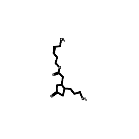 CC/C=C\CCOC(=O)CC1CC(=O)CC1CCCC